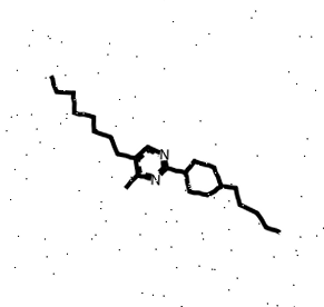 CCCCCCCCc1cnc(C2CCC(CCCCC)CC2)nc1C